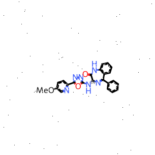 COc1ccc(-c2nnc(N[C@H]3N=C(c4ccccc4)c4ccccc4NC3=O)o2)nc1